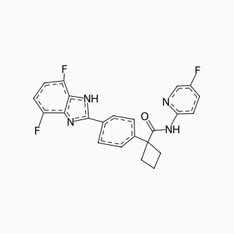 O=C(Nc1ccc(F)cn1)C1(c2ccc(-c3nc4c(F)ccc(F)c4[nH]3)cc2)CCC1